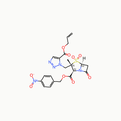 C=CCOC(=O)c1cnnn1C[C@@]1(C)[C@H](C(=O)OCc2ccc([N+](=O)[O-])cc2)N2C(=O)C[C@@H]2S1(=O)=O